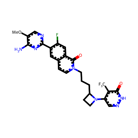 COc1cnc(-c2cc3ccn(CCCC4CCN4c4cn[nH]c(=O)c4C(F)(F)F)c(=O)c3cc2F)nc1N